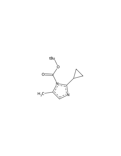 Cc1cnc(C2CC2)n1C(=O)OC(C)(C)C